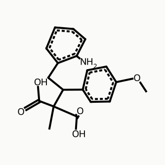 COc1ccc(C(Cc2ccccc2N)C(C)(C(=O)O)C(=O)O)cc1